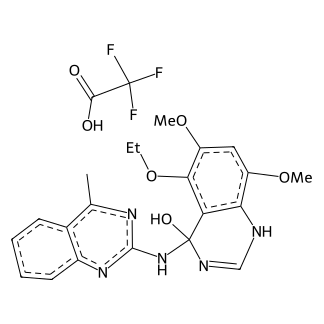 CCOc1c(OC)cc(OC)c2c1C(O)(Nc1nc(C)c3ccccc3n1)N=CN2.O=C(O)C(F)(F)F